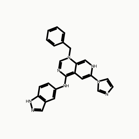 C1=NC(Nc2ccc3[nH]ncc3c2)=C2C=C(n3ccnc3)NC=C2N1Cc1ccccc1